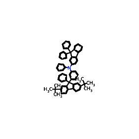 CC(C)(C)c1ccc2c(c1)C(c1ccccc1)(c1cccc(N(c3ccccc3)c3ccc4c(c3)C(c3ccccc3)(c3ccccc3)c3ccccc3-4)c1)c1cc(C(C)(C)C)ccc1-2